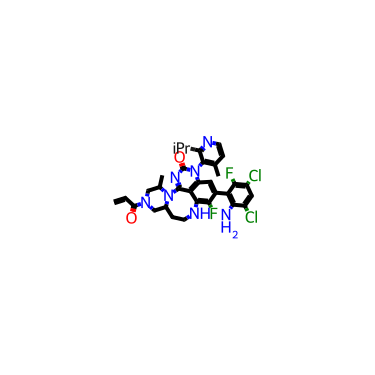 C=CC(=O)N1CC(C)N2c3nc(=O)n(-c4c(C)ccnc4C(C)C)c4cc(-c5c(N)c(Cl)cc(Cl)c5F)c(F)c(c34)NCCC2C1